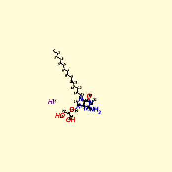 CCCCCCCCCCCCCCCCN1CN(COC(CO)CO)c2nc(N)n(C)c(=O)c21.I